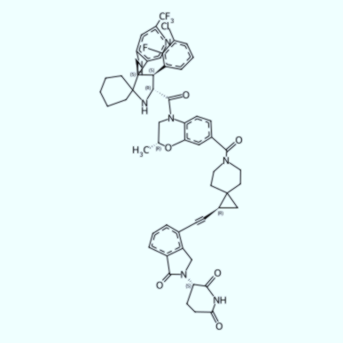 C[C@@H]1CN(C(=O)[C@@H]2NC3(CCCCC3)[C@@]3(CNc4cc(C(F)(F)F)ncc43)[C@H]2c2cccc(Cl)c2F)c2ccc(C(=O)N3CCC4(CC3)C[C@H]4C#Cc3cccc4c3CN([C@H]3CCC(=O)NC3=O)C4=O)cc2O1